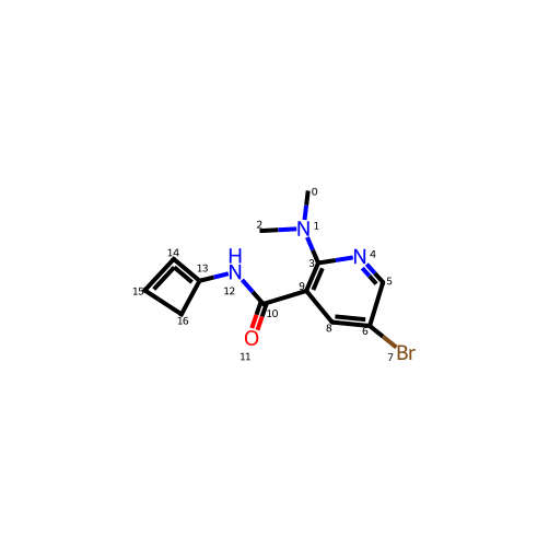 CN(C)c1ncc(Br)cc1C(=O)NC1=C=CC1